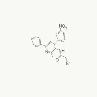 Cc1nc(-c2ccccc2)cc(-c2cccc([N+](=O)[O-])c2)c1NC(=O)CBr